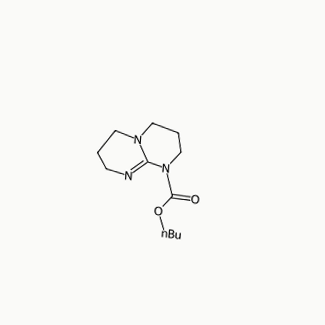 CCCCOC(=O)N1CCCN2CCCN=C21